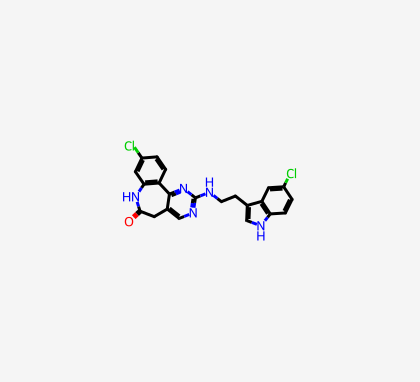 O=C1Cc2cnc(NCCc3c[nH]c4ccc(Cl)cc34)nc2-c2ccc(Cl)cc2N1